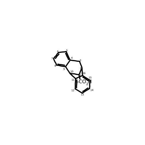 O=C(O)C1C2Cc3ccccc3C1c1ccccc12